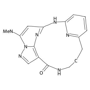 CNc1cc2nc3c(cnn13)C(=O)NCCCc1cccc(n1)N2